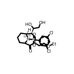 CCOCCN1C[C@H](C(O)CO)[C@@H]2CCCC(C1=O)N2S(=O)(=O)c1cc(Cl)cc(Cl)c1